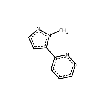 Cn1nccc1-c1cccnn1